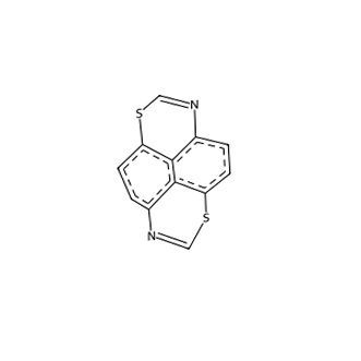 C1=Nc2ccc3c4c(ccc(c24)S1)N=CS3